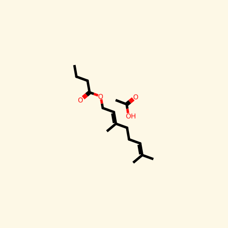 CC(=O)O.CCCC(=O)OC/C=C(\C)CCC=C(C)C